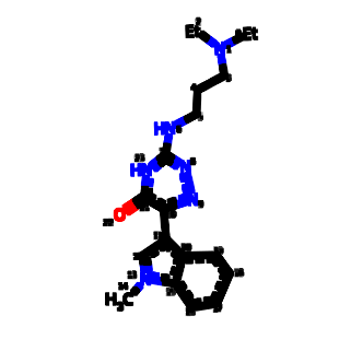 CCN(CC)CCCNc1nnc(-c2cn(C)c3ccccc23)c(=O)[nH]1